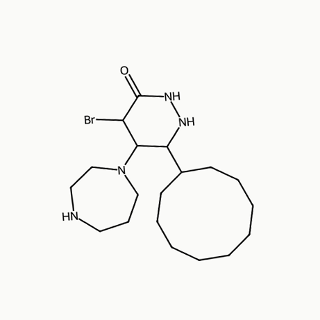 O=C1NNC(C2CCCCCCCCC2)C(N2CCCNCC2)C1Br